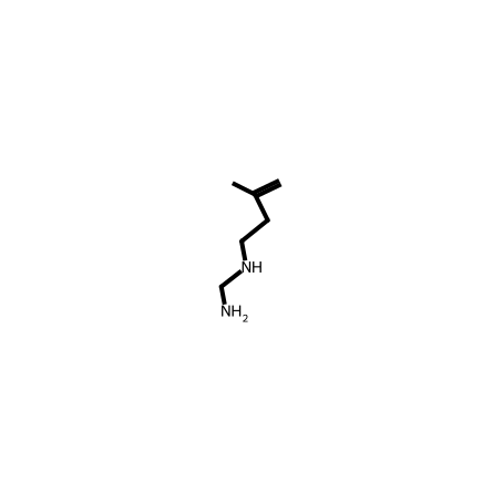 C=C(C)CCNCN